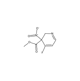 COC(=O)C1([N+](=O)[O-])CN=CC=C1F